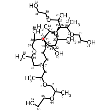 CC(COC(C)CN(CCN(CC(C)OCC(C)OCCO)CC(C)OCC(C)OCCO)CC(C)OCC(C)OCCO)OCCO